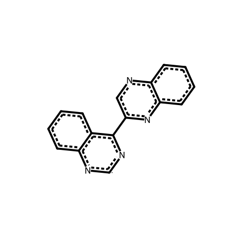 [c]1nc(-c2cnc3ccccc3n2)c2ccccc2n1